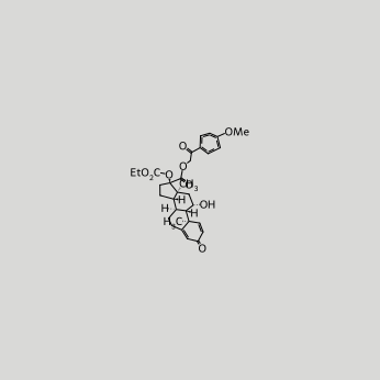 CCOC(=O)O[C@]1(C(=O)OCC(=O)c2ccc(OC)cc2)CC[C@H]2[C@@H]3CCC4=CC(=O)C=C[C@]4(C)[C@H]3[C@@H](O)C[C@@]21C